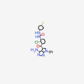 CC(C)n1cc(C(=O)c2cccc(NC(=O)Nc3ccc(F)cc3)c2Cl)c2c(N)ncnc21